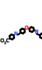 O=C(O)c1ccc(N=Cc2ccc(Oc3ccc(N=Cc4ccccc4)cc3)cc2)cc1